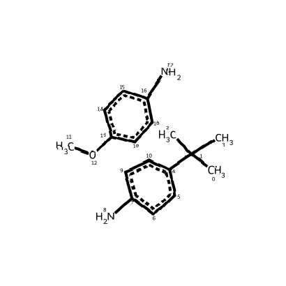 CC(C)(C)c1ccc(N)cc1.COc1ccc(N)cc1